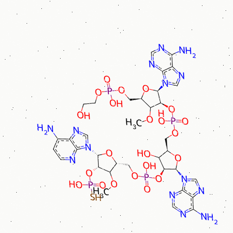 COC1[C@@H](COP(=O)(O)O[C@H]2C(O)[C@@H](COP(=O)(O)O[C@H]3C(OC)[C@@H](COP(=O)(O)OCCO)O[C@H]3n3cnc4c(N)ncnc43)O[C@H]2n2cnc3c(N)ncnc32)O[C@@H](n2cnc3c(N)ccnc32)[C@H]1OP(=O)(O)S